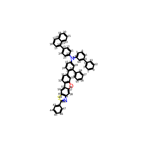 c1ccc(-c2cccc(N(c3ccc(-c4cccc5ccccc45)cc3)c3ccc(-c4ccc5c(c4)oc4cc6nc(-c7ccccc7)sc6cc45)c(-c4ccccc4)c3)c2)cc1